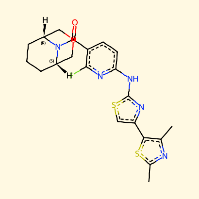 Cc1nc(C)c(-c2csc(Nc3ccc(C(=O)N4[C@@H]5CCC[C@H]4COC5)c(F)n3)n2)s1